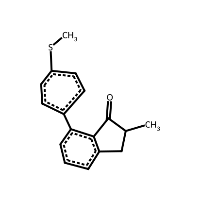 CSc1ccc(-c2cccc3c2C(=O)C(C)C3)cc1